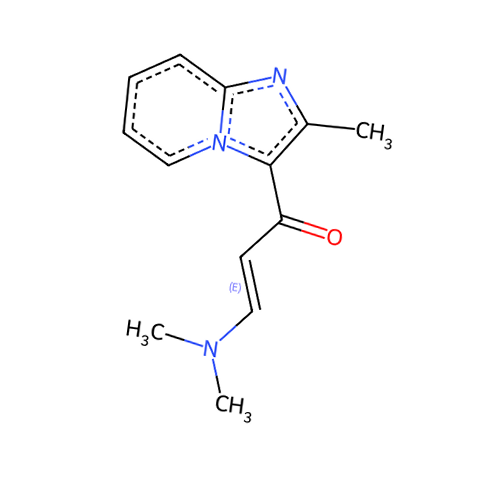 Cc1nc2ccccn2c1C(=O)/C=C/N(C)C